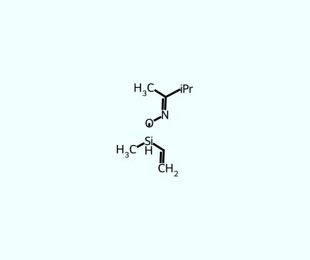 C=C[SiH](C)ON=C(C)C(C)C